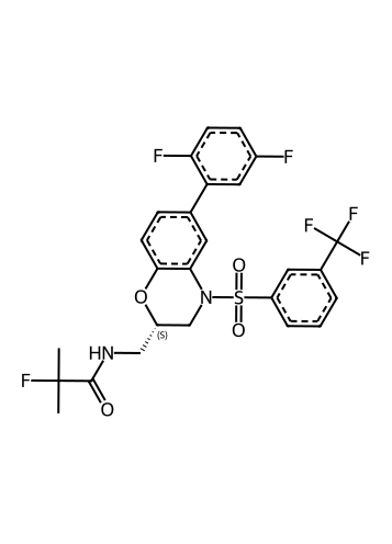 CC(C)(F)C(=O)NC[C@H]1CN(S(=O)(=O)c2cccc(C(F)(F)F)c2)c2cc(-c3cc(F)ccc3F)ccc2O1